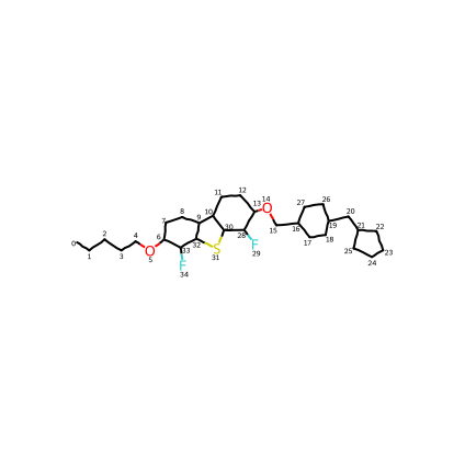 CCCCCOC1CCC2C3CCC(OCC4CCC(CC5CCCC5)CC4)C(F)C3SC2C1F